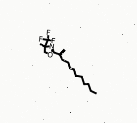 C=C(CCCCCCCCCC)C1=NC(C)(C(F)(F)F)CO1